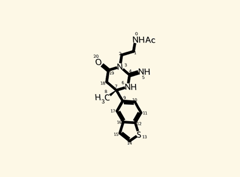 CC(=O)NCCN1C(=N)N[C@](C)(c2ccc3sccc3c2)CC1=O